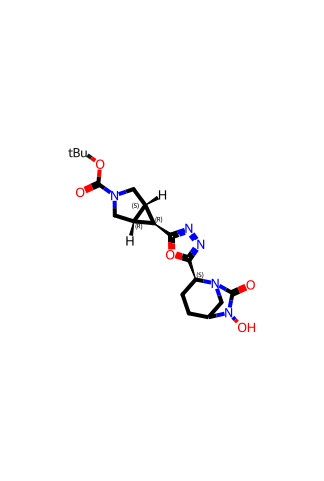 CC(C)(C)OC(=O)N1C[C@@H]2[C@H](C1)[C@H]2c1nnc([C@@H]2CCC3CN2C(=O)N3O)o1